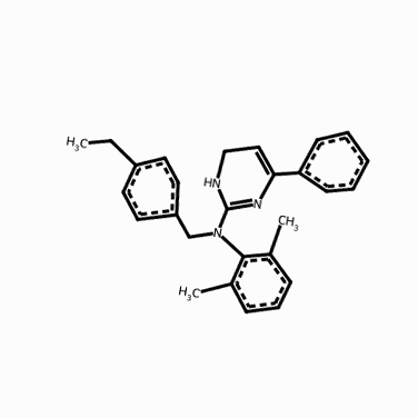 CCc1ccc(CN(C2=NC(c3ccccc3)=CCN2)c2c(C)cccc2C)cc1